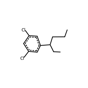 CCCC(CC)c1cc(Cl)cc(Cl)c1